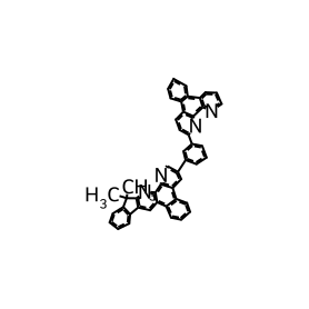 CC1(C)c2ccccc2-c2cc3c4ccccc4c4cc(-c5cccc(-c6ccc7c8ccccc8c8cccnc8c7n6)c5)cnc4c3nc21